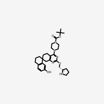 CC(C)(C)OC(=O)N1CCN(c2nc(OC[C@@H]3CCCN3)nc3c2CCC2(CCCc4ccc(O)cc42)C3)CC1